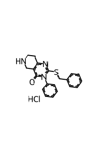 Cl.O=c1c2c(nc(SCc3ccccc3)n1-c1ccccc1)CCNC2